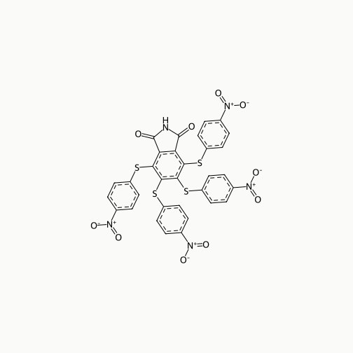 O=C1NC(=O)c2c(Sc3ccc([N+](=O)[O-])cc3)c(Sc3ccc([N+](=O)[O-])cc3)c(Sc3ccc([N+](=O)[O-])cc3)c(Sc3ccc([N+](=O)[O-])cc3)c21